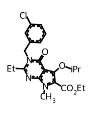 CCOC(=O)c1c(OC(C)C)c2c(=O)n(Cc3cccc(Cl)c3)c(CC)nc2n1C